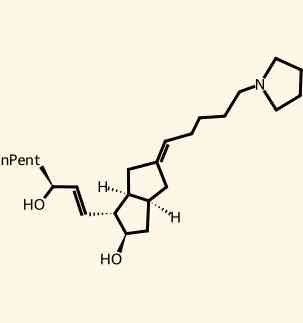 CCCCC[C@H](O)C=C[C@@H]1[C@H]2CC(=CCCCCN3CCCC3)C[C@H]2C[C@H]1O